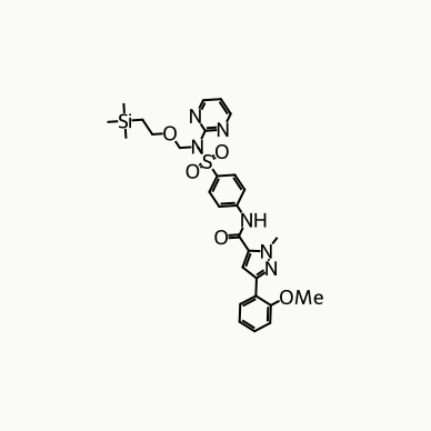 COc1ccccc1-c1cc(C(=O)Nc2ccc(S(=O)(=O)N(COCC[Si](C)(C)C)c3ncccn3)cc2)n(C)n1